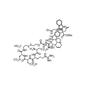 C=CCC(C(=O)OC)(c1cc2c(cc1OC)N(C)[C@H]1[C@@](O)(C(=O)NNC(=O)OCCSSC[C@H](NC(=O)[C@H](CC(=O)O)NC(=O)[C@H](CC(=O)O)NC(=O)[C@H](CCCNC(=N)N)NC(=O)[C@@H](N)CC(=O)O)C(=O)O)[C@H](O)[C@]3(CC)C=CCN4CC[C@]21C43)c1[nH]c2ccccc2c1CCNCC